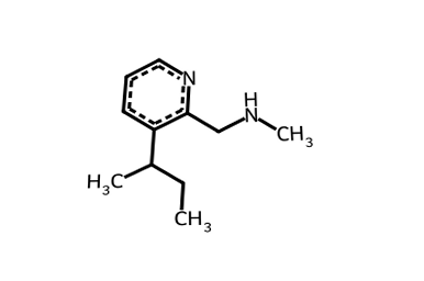 CCC(C)c1cccnc1CNC